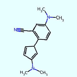 CN(C)C1=CC(c2ccc(N(C)C)cc2C#N)C=C1